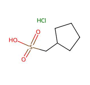 Cl.O=S(=O)(O)CC1CCCC1